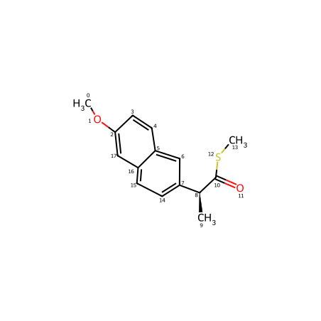 COc1ccc2cc([C@H](C)C(=O)SC)ccc2c1